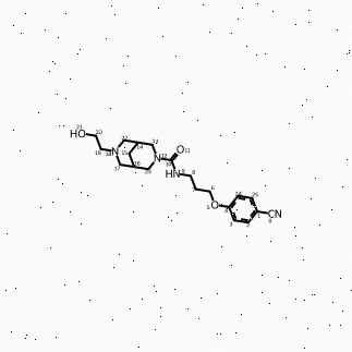 N#Cc1ccc(OCCCNC(=O)N2CC3CC(CN(CCO)C3)C2)cc1